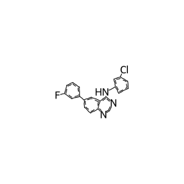 Fc1cccc(-c2ccc3ncnc(Nc4cccc(Cl)c4)c3c2)c1